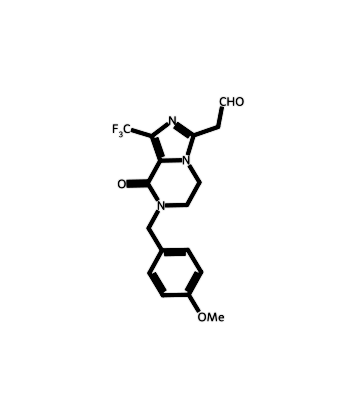 COc1ccc(CN2CCn3c(CC=O)nc(C(F)(F)F)c3C2=O)cc1